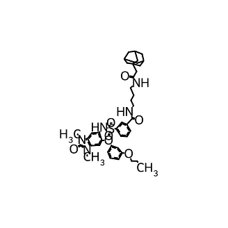 CCCOc1cccc(Oc2cc3c(cc2NS(=O)(=O)c2cccc(C(=O)NCCCCNC(=O)CC45CC6CC(CC(C6)C4)C5)c2)n(C)c(=O)n3C)c1